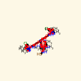 Cc1ncsc1-c1ccc([C@H](C)NC(=O)[C@@H]2C[C@@H](OC(=O)NCCS)CN2C(=O)[C@@H](NC(=O)CCCC(=O)N(CCOCCOCCOCCNC(=O)C[C@@H]2N=C(c3ccc(Cl)cc3)c3c(sc(C)c3C)-n3c(C)nnc32)CCOCCOCCOCCNC(=O)C[C@@H]2N=C(c3ccc(Cl)cc3)c3c(sc(C)c3C)-n3c(C)nnc32)C(C)(C)C)cc1